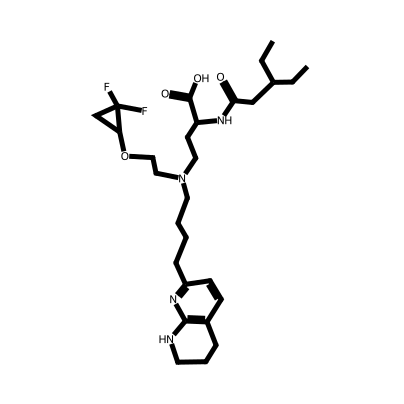 CCC(CC)CC(=O)NC(CCN(CCCCc1ccc2c(n1)NCCC2)CCOC1CC1(F)F)C(=O)O